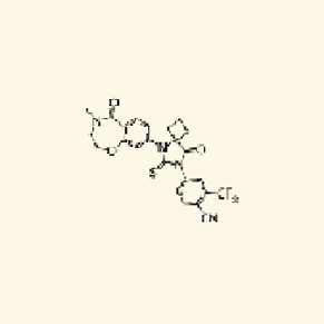 CN1CCOc2cc(N3C(=S)N(c4ccc(C#N)c(C(F)(F)F)c4)C(=O)C34CCC4)ccc2C1=O